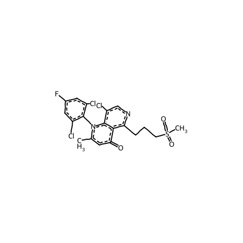 Cc1cc(=O)c2c(CCCS(C)(=O)=O)ncc(Cl)c2n1-c1c(Cl)cc(F)cc1Cl